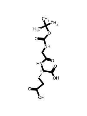 CC(C)(C)OC(=O)NCC(=O)N[C@@H](CCC(=O)O)C(=O)O